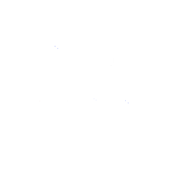 CCOC(=O)c1c(CN2CCCCC2C)n(Cc2ccccc2)c2cc(Br)c3c(c12)CN(C)CO3